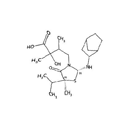 CC(CN1C(=O)[C@](C)(C(C)C)S[C@H]1NC1CC2CCC1C2)C(C)(O)C(=O)O